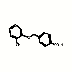 N#Cc1ccccc1OCc1ccc(C(=O)O)cc1